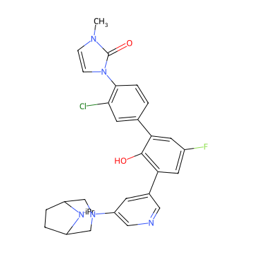 CC(C)N1C2CCC1CN(c1cncc(-c3cc(F)cc(-c4ccc(-n5ccn(C)c5=O)c(Cl)c4)c3O)c1)C2